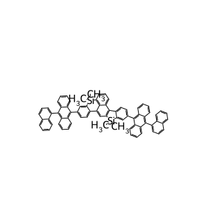 C[Si]1(C)c2cc(-c3c4ccccc4c(-c4cccc5ccccc45)c4ccccc34)ccc2-c2c1cc1c3c(cccc23)[Si](C)(C)c2cc(-c3c4ccccc4c(-c4cccc5ccccc45)c4ccccc34)ccc2-1